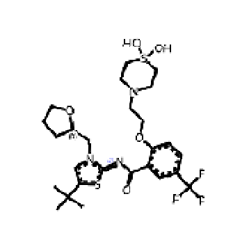 CC(C)(C)c1cn(C[C@H]2CCCO2)/c(=N/C(=O)c2cc(C(F)(F)F)ccc2OCCN2CCS(O)(O)CC2)s1